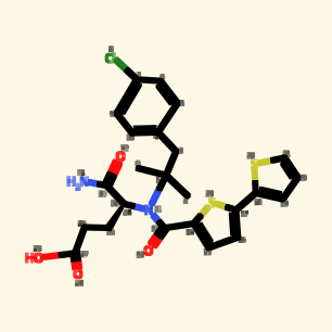 CC(C)(Cc1ccc(Cl)cc1)N(C(=O)c1ccc(-c2cccs2)s1)[C@@H](CCC(=O)O)C(N)=O